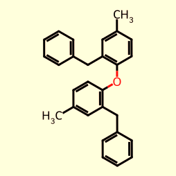 Cc1ccc(Oc2ccc(C)cc2Cc2ccccc2)c(Cc2ccccc2)c1